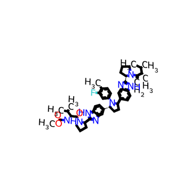 C=C(C(C)C(C)C)N1CCC[C@H]1c1nc2cc(C3CC[C@H](c4ccc5[nH]c(C6CCCN6C(=O)[C@@H](NC(=O)OC)C(C)C)nc5c4)N3c3ccc(C)c(F)c3)ccc2[nH]1